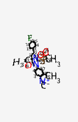 [C-]#[N+]c1ccc(N2C(=O)C(C)(CCc3ccc(F)cc3)N=C2SS(C)(=O)=O)cc1C